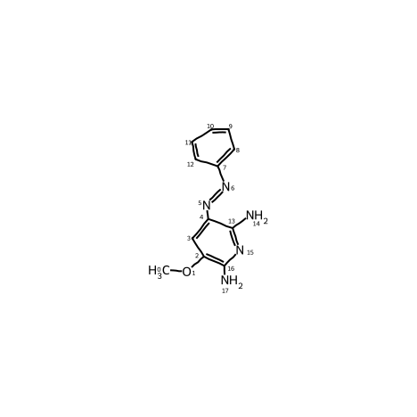 COc1cc(/N=N/c2ccccc2)c(N)nc1N